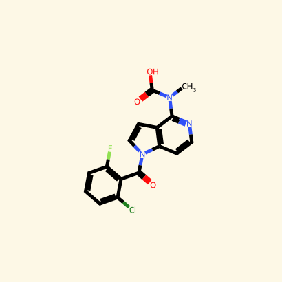 CN(C(=O)O)c1nccc2c1ccn2C(=O)c1c(F)cccc1Cl